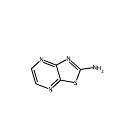 Nc1nc2nccnc2s1